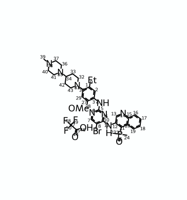 CCc1cc(Nc2ncc(Br)c(Nc3cnc4ccccc4c3P(C)(C)=O)n2)c(OC)cc1N1CCC(N2CCN(C)CC2)CC1.O=C(O)C(F)(F)F